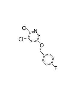 Fc1ccc(COc2cnc(Cl)c(Cl)c2)cc1